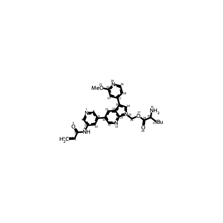 C=CC(=O)Nc1cncc(-c2cnc3c(c2)c(-c2ccnc(OC)c2)cn3COC(=O)C(N)C(C)CC)c1